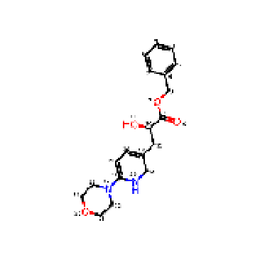 O=C(OCc1ccccc1)[C@H](O)CC1=CC=C(N2CCOCC2)NC1